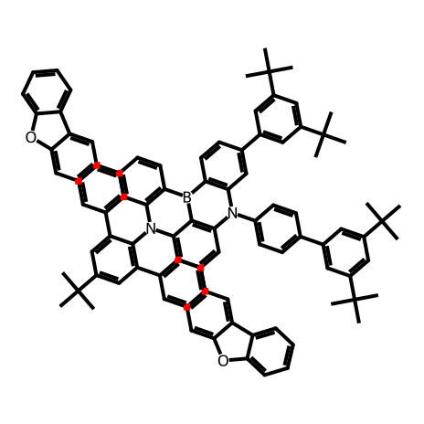 CC(C)(C)c1cc(-c2ccc(N3c4cc(-c5cc(C(C)(C)C)cc(C(C)(C)C)c5)ccc4B4c5ccc(-c6ccc7oc8ccccc8c7c6)cc5N(c5c(-c6ccccc6)cc(C(C)(C)C)cc5-c5ccccc5)c5cc(-c6ccc7oc8ccccc8c7c6)cc3c54)cc2)cc(C(C)(C)C)c1